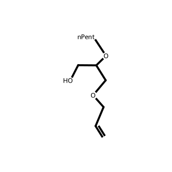 C=CCOCC(CO)OCCCCC